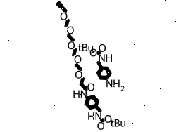 C#CCOCCOCCOCCOCCOCCC(=O)Nc1ccc(CNC(=O)OC(C)(C)C)cc1.CC(C)(C)OC(=O)NCc1ccc(N)cc1